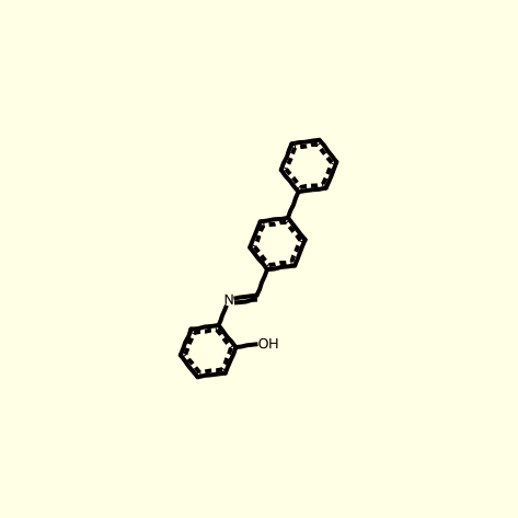 Oc1ccccc1N=Cc1ccc(-c2ccccc2)cc1